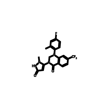 Cc1cc(F)ccc1N1CN(c2cc(=O)[nH]n2C)C(=O)c2ccc(C(F)(F)F)cc21